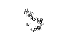 Br.CC(C)Oc1ccc(CN2CCN(C(=O)c3cc4ccc(Oc5ccc(NC(=O)c6ccc(Cl)c(Cl)c6)cn5)cc4n3C)CC2)cc1F